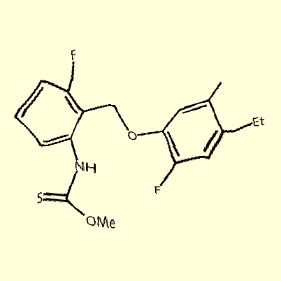 CCc1cc(F)c(OCc2c(F)cccc2NC(=S)OC)cc1C